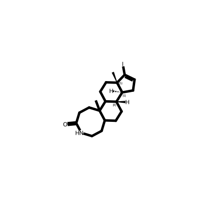 CC12CCC(=O)NCCC1CC[C@@H]1C2CC[C@]2(C)C(I)=CC[C@@H]12